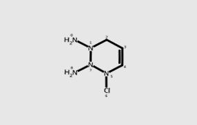 NN1CC=CN(Cl)N1N